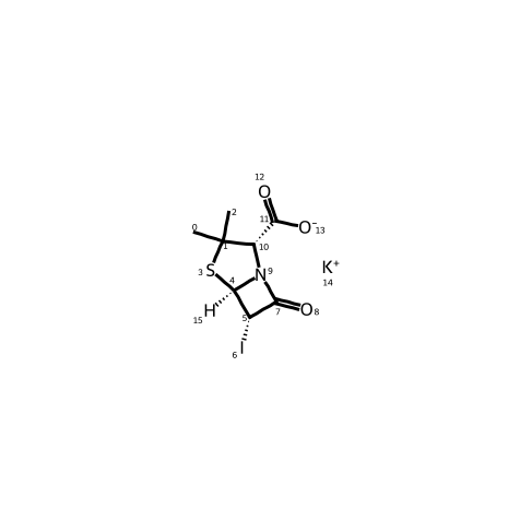 CC1(C)S[C@@H]2[C@@H](I)C(=O)N2[C@H]1C(=O)[O-].[K+]